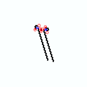 CCCCCCCCCCCCCCCCCCCCCCCC(OC(=O)OC(CCCCCCCCCCCCCCCCCCCCCCC)N1C(=O)CCC1=O)N1C(=O)CCC1=O